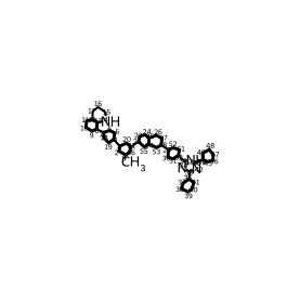 Cc1cc(-c2ccc(-c3cccc4c3NCCC4)cc2)cc(-c2ccc3ccc(-c4ccc(C5=NC(c6ccccc6)=NC(c6ccccc6)N5)cc4)cc3c2)c1